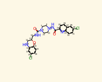 O=C(NN1CCN(C(=O)NCC2CNc3cc(Cl)ccc3O2)CC1)c1ccc2cc(Cl)ccc2n1